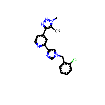 Cn1nnc(-c2ccnc(-c3cn(Cc4ccccc4Cl)cn3)c2)c1C#N